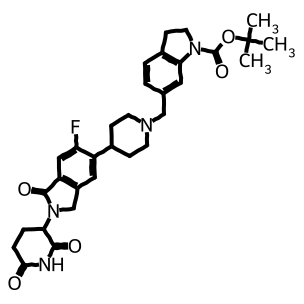 CC(C)(C)OC(=O)N1CCc2ccc(CN3CCC(c4cc5c(cc4F)C(=O)N(C4CCC(=O)NC4=O)C5)CC3)cc21